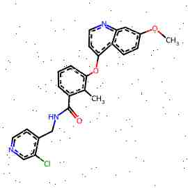 COc1ccc2c(Oc3cccc(C(=O)NCc4ccncc4Cl)c3C)ccnc2c1